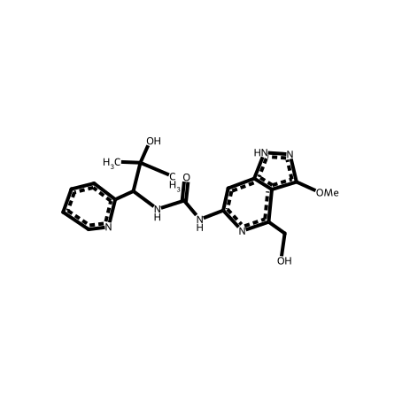 COc1n[nH]c2cc(NC(=O)NC(c3ccccn3)C(C)(C)O)nc(CO)c12